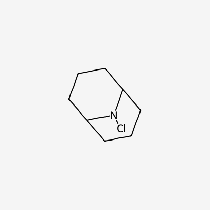 ClN1C2CCCC1CCC2